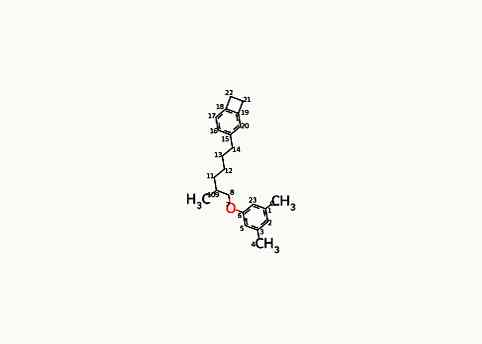 Cc1cc(C)cc(OCC(C)CCCCc2ccc3c(c2)CC3)c1